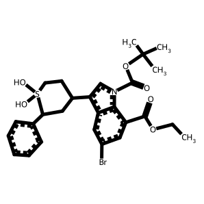 CCOC(=O)c1cc(Br)cc2c(C3CCS(O)(O)C(c4ccccc4)C3)cn(C(=O)OC(C)(C)C)c12